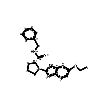 CCOc1cnc2nc(N3CCC[C@@H]3C(=O)NCc3ccccc3)sc2n1